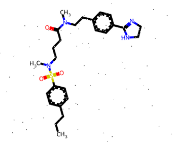 CCCc1ccc(S(=O)(=O)N(C)CCCC(=O)N(C)CCc2ccc(C3=NCCN3)cc2)cc1